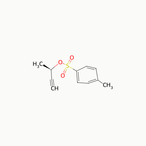 C#C[C@@H](C)OS(=O)(=O)c1ccc(C)cc1